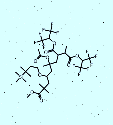 COC(=O)C(C)(C)CC(CC(C)(CC(C(=O)OC(C(F)(F)F)C(F)(F)F)C(C)C(=O)OC(C(F)(F)F)C(F)(F)F)OC(C)=O)OCCC(C)(C)[Si](C)(C)C